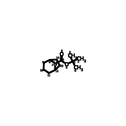 CC(C)(C)OC(=O)N1C2C[CH]CC1CC2